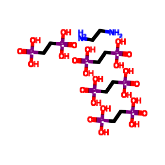 NCCN.O=P(O)(O)CCP(=O)(O)O.O=P(O)(O)CCP(=O)(O)O.O=P(O)(O)CCP(=O)(O)O.O=P(O)(O)CCP(=O)(O)O